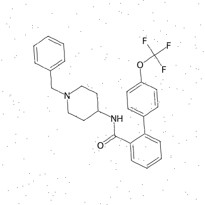 O=C(NC1CCN(Cc2ccccc2)CC1)c1ccccc1-c1ccc(OC(F)(F)F)cc1